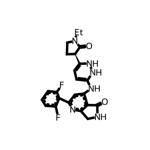 CCN1CC[C@H](C2=CC=C(Nc3cc(-c4c(F)cccc4F)nc4c3C(=O)NC4)NN2)C1=O